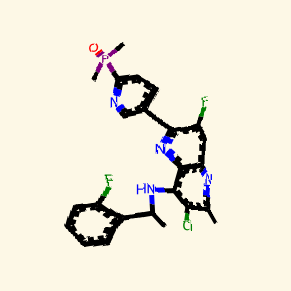 Cc1nc2cc(F)c(-c3ccc(P(C)(C)=O)nc3)nc2c(NC(C)c2ccccc2F)c1Cl